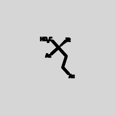 CC[C@](CCC(C)=O)(C(C)=O)C(=O)O